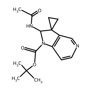 CC(=O)NC1N(C(=O)OC(C)(C)C)c2ccncc2C12CC2